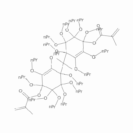 C=C(C)C(=O)OC1(OCCC)C(OCCC)=C(OCCC)C(OCCC)(C(C)(C)C2(OCCC)C(OCCC)=C(OCCC)C(OCCC)(OC(=O)C(=C)C)C(OCCC)(OCCC)C2(OCCC)OCCC)C(OCCC)(OCCC)C1(OCCC)OCCC